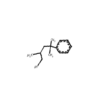 CC(C)CC(C)CC(C)(C)c1ccccc1